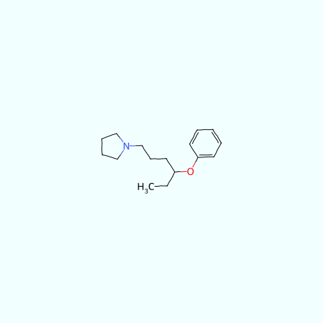 CCC(CCCN1CCCC1)Oc1ccccc1